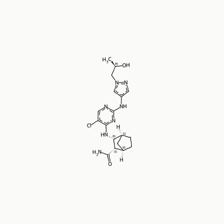 C[C@@H](O)Cn1cc(Nc2ncc(Cl)c(N[C@@H]3[C@H]4CC[C@H](C4)[C@@H]3C(N)=O)n2)cn1